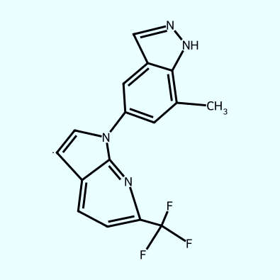 Cc1cc(-n2c[c]c3ccc(C(F)(F)F)nc32)cc2cn[nH]c12